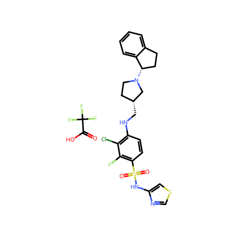 O=C(O)C(F)(F)F.O=S(=O)(Nc1cscn1)c1ccc(NC[C@@H]2CCN([C@H]3CCc4ccccc43)C2)c(Cl)c1F